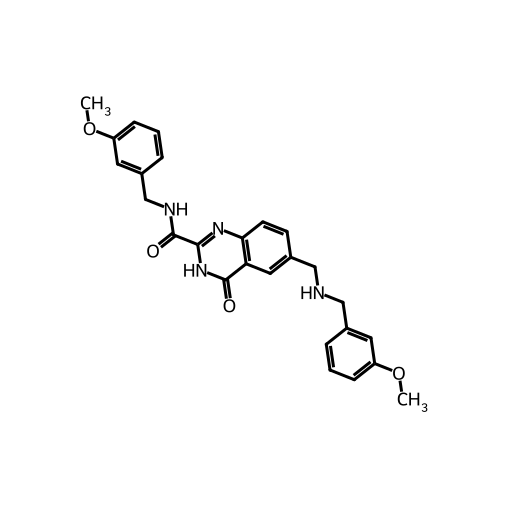 COc1cccc(CNCc2ccc3nc(C(=O)NCc4cccc(OC)c4)[nH]c(=O)c3c2)c1